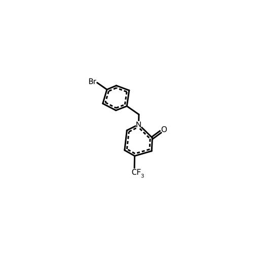 O=c1cc(C(F)(F)F)ccn1Cc1ccc(Br)cc1